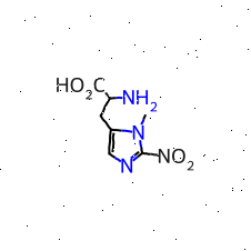 Cn1c(CC(N)C(=O)O)cnc1[N+](=O)[O-]